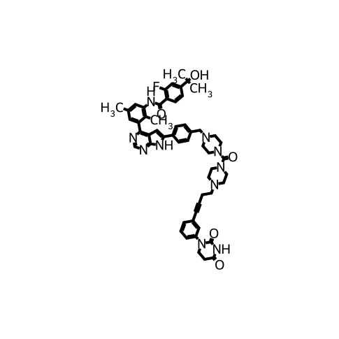 Cc1cc(NC(=O)c2ccc(C(C)(C)O)cc2F)c(C)c(-c2ncnc3[nH]c(-c4ccc(CN5CCN(C(=O)N6CCN(CCC#Cc7cccc(N8CCC(=O)NC8=O)c7)CC6)CC5)cc4)cc23)c1